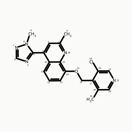 Cc1cc(-c2ncnn2C)c2cccc(OCc3c(C)cncc3Cl)c2n1